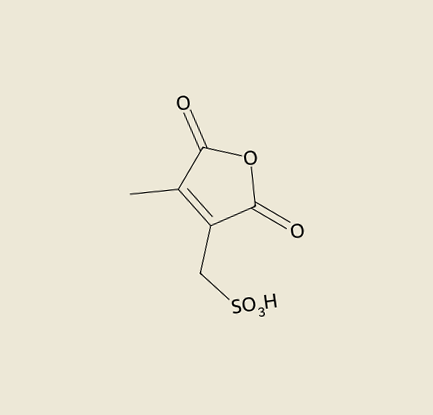 CC1=C(CS(=O)(=O)O)C(=O)OC1=O